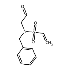 C=CS(=O)(=O)N(CC=O)Cc1ccccc1